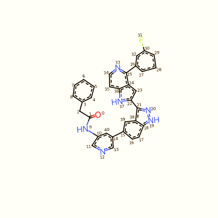 O=C(Cc1ccccc1)Nc1cncc(-c2ccc3[nH]nc(-c4cc5c(-c6cccc(F)c6)nccc5[nH]4)c3c2)c1